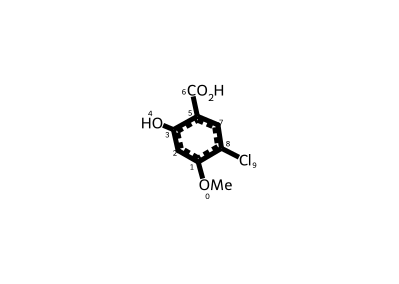 COc1cc(O)c(C(=O)O)cc1Cl